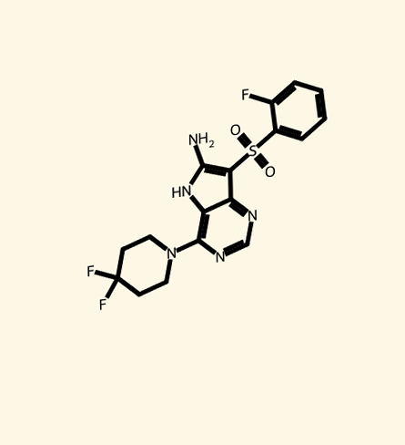 Nc1[nH]c2c(N3CCC(F)(F)CC3)ncnc2c1S(=O)(=O)c1ccccc1F